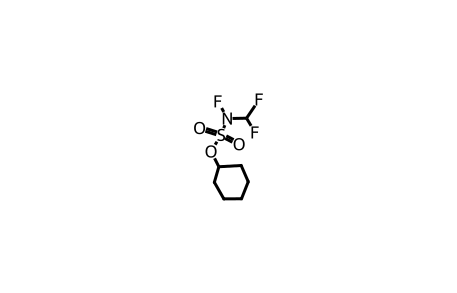 O=S(=O)(OC1CCCCC1)N(F)C(F)F